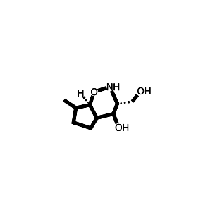 CC1CCC2C(O)[C@@H](CO)NO[C@H]12